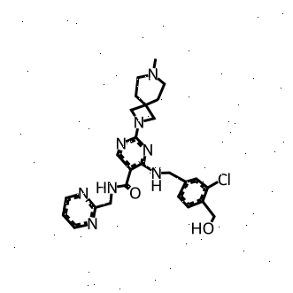 CN1CCC2(CC1)CN(c1ncc(C(=O)NCc3ncccn3)c(NCc3ccc(CO)c(Cl)c3)n1)C2